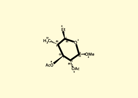 CC[C@H]1O[C@H](OC)[C@H](OC(C)=O)[C@@H](OC(C)=O)[C@@H]1C